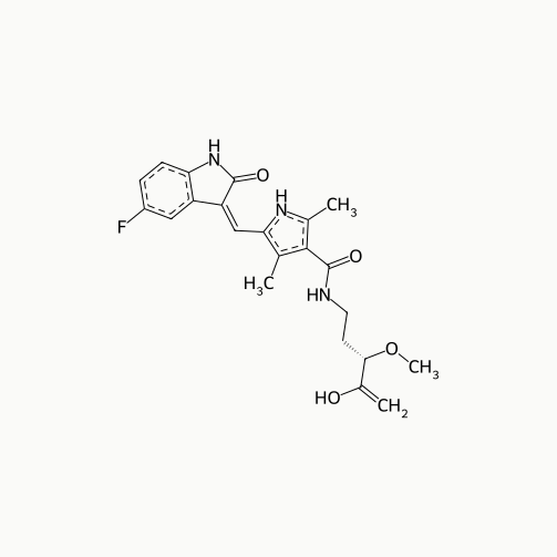 C=C(O)[C@H](CCNC(=O)c1c(C)[nH]c(/C=C2\C(=O)Nc3ccc(F)cc32)c1C)OC